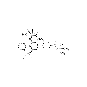 CC(C)c1ccccc1-n1c(=O)nc(N2CCN(C(=O)OC(C)(C)C)C[C@@H]2C)c2cc(Cl)[c]([Sn]([CH3])([CH3])[CH3])nc21